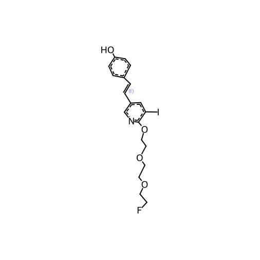 Oc1ccc(/C=C/c2cnc(OCCOCCOCCF)c(I)c2)cc1